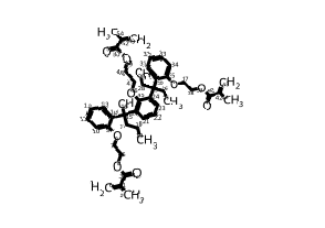 C=C(C)C(=O)OCCOc1ccccc1C(C)(CCC)c1cccc(C(CC)(CC)c2ccccc2OCCOC(=O)C(=C)C)c1OCCOC(=O)C(=C)C